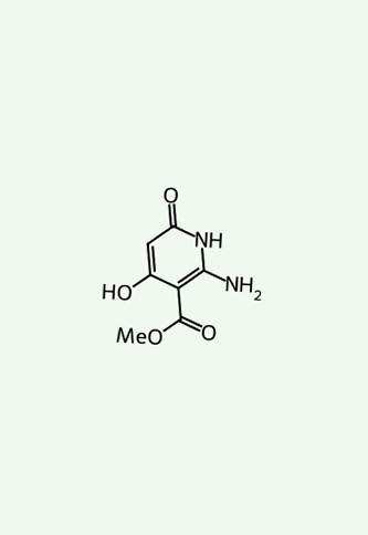 COC(=O)c1c(O)cc(=O)[nH]c1N